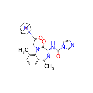 CC1=N[C@H](NC(=O)n2ccnc2)C(=O)N(CC(=O)N2CC3CCC(CC3)C2)c2c(C)cccc21